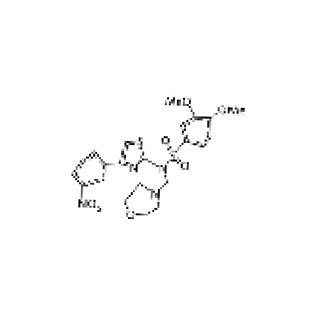 COc1ccc(S(=O)(=O)N(CN2CCOCC2)c2nc(-c3cccc([N+](=O)[O-])c3)cs2)cc1OC